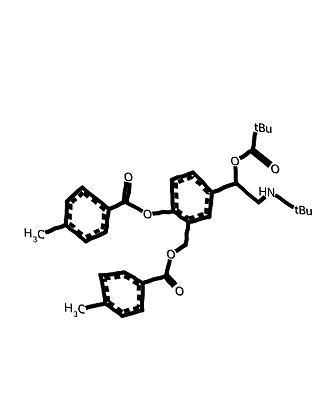 Cc1ccc(C(=O)OCc2cc(C(CNC(C)(C)C)OC(=O)C(C)(C)C)ccc2OC(=O)c2ccc(C)cc2)cc1